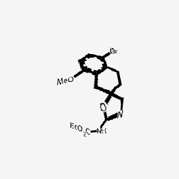 CCOC(=O)NC1=NCC2(CCc3c(Br)ccc(OC)c3C2)O1